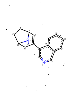 CN1C2C=C(c3cncc4ccccc34)CC1CC2